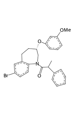 COc1cccc(O[C@H]2CCc3cc(Br)ccc3N(C(=O)C(C)c3ccccc3)C2)c1